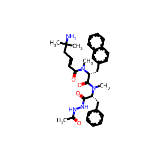 CC(=O)NNC(=O)[C@@H](Cc1ccccc1)N(C)C(=O)[C@@H](Cc1ccc2ccccc2c1)N(C)C(=O)/C=C/CC(C)(C)N